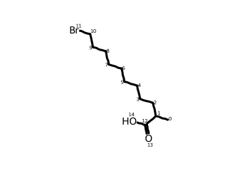 CC(CCCCCCCCCBr)C(=O)O